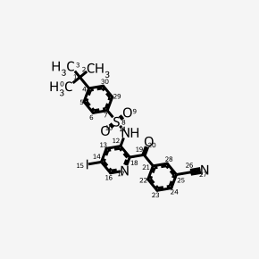 CC(C)(C)c1ccc(S(=O)(=O)Nc2cc(I)cnc2C(=O)c2cccc(C#N)c2)cc1